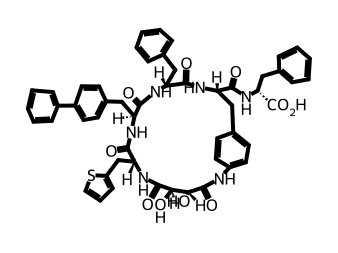 O=C(N[C@H](Cc1ccccc1)C(=O)O)[C@@H]1Cc2ccc(cc2)NC(=O)[C@H](O)[C@@H](O)C(=O)N[C@H](Cc2cccs2)C(=O)N[C@@H](Cc2ccc(-c3ccccc3)cc2)C(=O)N[C@H](Cc2ccccc2)C(=O)N1